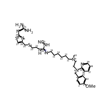 COc1ccc(CN(CCN(C)CCCCCC/N=C(\NC#N)NCCSCc2csc(N=C(N)N)n2)c2ccccn2)cc1